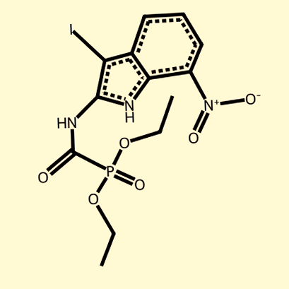 CCOP(=O)(OCC)C(=O)Nc1[nH]c2c([N+](=O)[O-])cccc2c1I